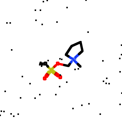 CC(=O)OS(=O)(=O)OC[N+]1(C)CCCC1